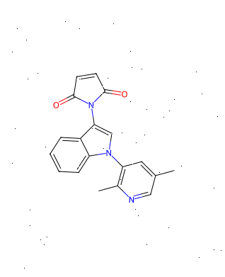 Cc1cnc(C)c(-n2cc(N3C(=O)C=CC3=O)c3ccccc32)c1